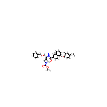 CC(C)(C)OC(=O)N1CC(C(COCc2ccccc2)NC(=O)c2ccc3c(Oc4ccc(C(F)(F)F)cc4)cccc3c2)C1